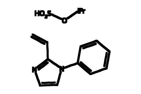 C=Cc1nccn1-c1ccccc1.CC(C)OS(=O)(=O)O